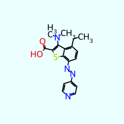 CCc1ccc(N=Nc2ccncc2)c2sc(C(=O)O)c(N(C)C)c12